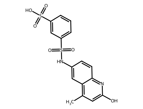 Cc1cc(O)nc2ccc(NS(=O)(=O)c3cccc(S(=O)(=O)O)c3)cc12